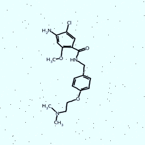 COc1cc(N)c(Cl)cc1C(=O)NCc1ccc(OCCN(C)C)cc1